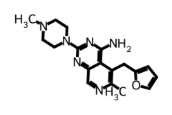 Cc1ncc2nc(N3CCN(C)CC3)nc(N)c2c1Cc1ccco1